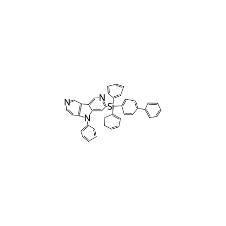 C1=CCCC([Si](c2ccccc2)(c2ccc(-c3ccccc3)cc2)c2cc3c(cn2)c2cnccc2n3-c2ccccc2)=C1